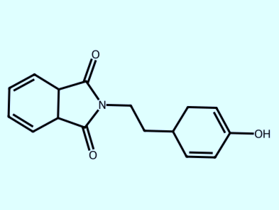 O=C1C2C=CC=CC2C(=O)N1CCC1C=CC(O)=CC1